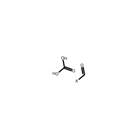 O=C(O)O.O=[CH][K]